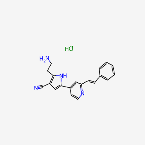 Cl.N#Cc1cc(-c2ccnc(/C=C/c3ccccc3)c2)[nH]c1CCN